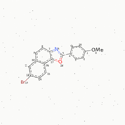 COc1ccc(-c2nc3ccc4cc(Br)ccc4c3o2)cc1